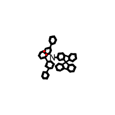 c1ccc(-c2cccc(N(c3ccc4c(c3)C3(c5ccccc5-c5ccccc53)c3ccccc3-4)c3ccc(-c4ccccc4)cc3-c3ccccc3)c2)cc1